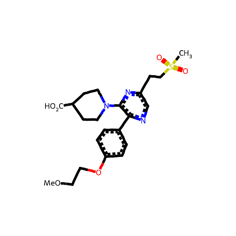 COCCOc1ccc(-c2ncc(CCS(C)(=O)=O)nc2N2CCC(C(=O)O)CC2)cc1